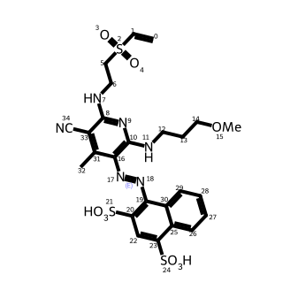 C=CS(=O)(=O)CCNc1nc(NCCCOC)c(/N=N/c2c(S(=O)(=O)O)cc(S(=O)(=O)O)c3ccccc23)c(C)c1C#N